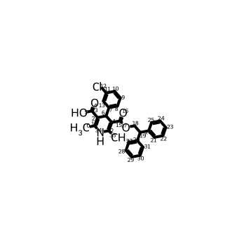 CC1=C(C(=O)O)C(c2cccc(Cl)c2)C(C(=O)OCC(c2ccccc2)c2ccccc2)=C(C)N1